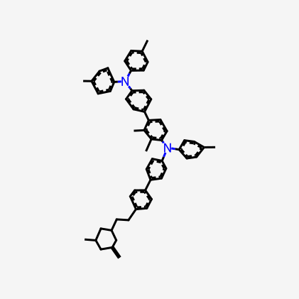 C=C1CC(C)CC(CCc2ccc(-c3ccc(N(c4ccc(C)cc4)c4ccc(-c5ccc(N(c6ccc(C)cc6)c6ccc(C)cc6)cc5)c(C)c4C)cc3)cc2)C1